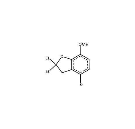 CCC1(CC)Cc2c(Br)ccc(OC)c2O1